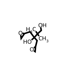 CC(C)(CO)C(O)(CC1CO1)CC1CO1